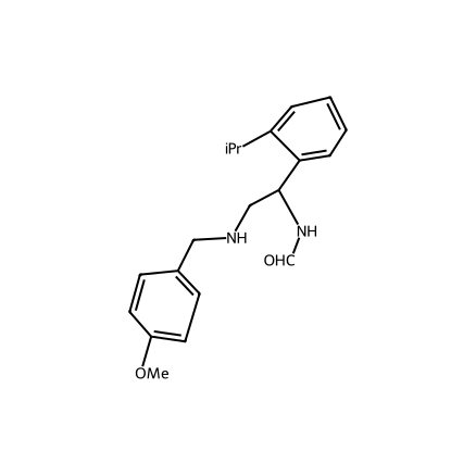 COc1ccc(CNCC(NC=O)c2ccccc2C(C)C)cc1